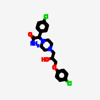 NC(=O)C(c1ccc(Cl)cc1)N1CCN(CC(O)COc2ccc(Cl)cc2)CC1